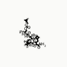 CC(C)[C@@H](COC(=O)OCC1CC1)NC(=O)N[C@H](C(=O)N1C[C@H]2[C@@H]([C@H]1C(=O)NC(CC1CCC1)C(=O)C(N)=O)C2(C)C)C(C)(C)C